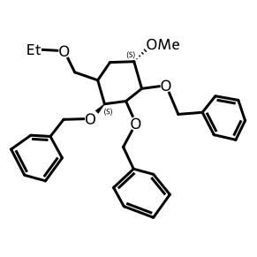 CCOCC1C[C@H](OC)C(OCc2ccccc2)C(OCc2ccccc2)[C@H]1OCc1ccccc1